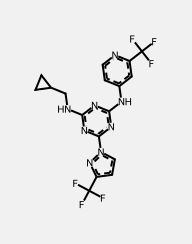 FC(F)(F)c1cc(Nc2nc(NCC3CC3)nc(-n3ccc(C(F)(F)F)n3)n2)ccn1